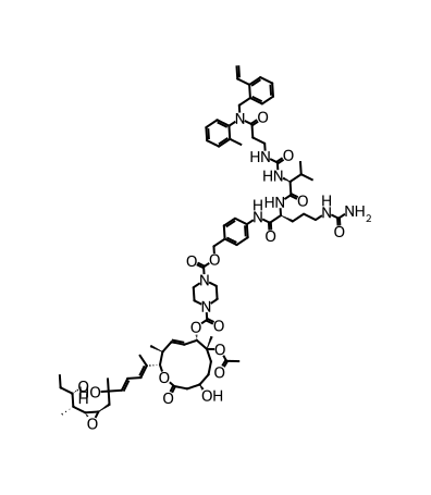 C=Cc1ccccc1CN(C(=O)CCNC(=O)N[C@H](C(=O)N[C@@H](CCCNC(N)=O)C(=O)Nc1ccc(COC(=O)N2CCN(C(=O)O[C@H]3/C=C/[C@H](C)[C@@H](/C(C)=C/C=C/C(C)(O)C[C@H]4O[C@@H]4[C@H](C)[C@@H](O)CC)OC(=O)C[C@H](O)CC[C@@]3(C)OC(C)=O)CC2)cc1)C(C)C)c1ccccc1C